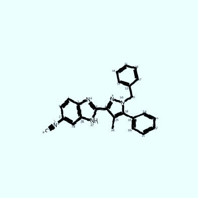 [C-]#[N+]c1ccc2nc(-c3nn(Cc4ccccc4)c(-c4ccccc4)c3C)[nH]c2c1